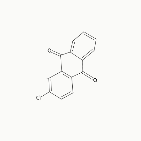 O=C1c2[c]c(Cl)ccc2C(=O)c2ccccc21